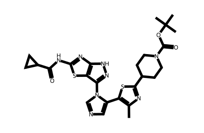 Cc1nc(C2CCN(C(=O)OC(C)(C)C)CC2)sc1-c1cncn1-c1n[nH]c2nc(NC(=O)C3CC3)sc12